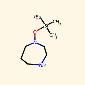 CC(C)(C)[Si](C)(C)ON1CCCNCC1